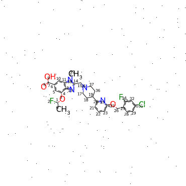 CC(F)Oc1cc(C(=O)O)cc2c1nc(CN1CCC(c3cccc(OCc4ccc(Cl)cc4F)n3)CC1)n2C